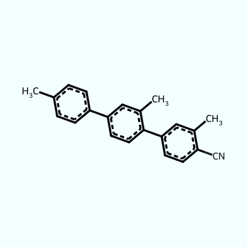 Cc1ccc(-c2ccc(-c3ccc(C#N)c(C)c3)c(C)c2)cc1